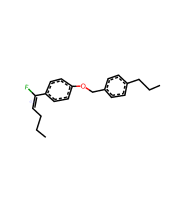 CCC/C=C(/F)c1ccc(OCc2ccc(CCC)cc2)cc1